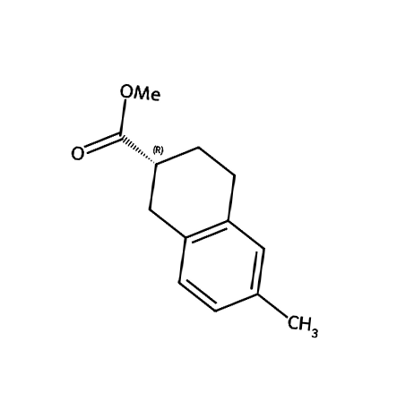 COC(=O)[C@@H]1CCc2cc(C)ccc2C1